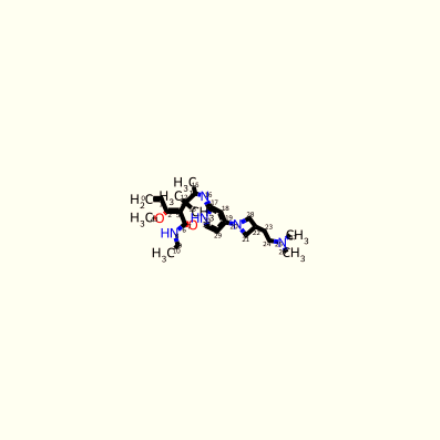 C=C/C(OC)=C(/C(=O)NCC)C(C)(C)C(C)/N=c1/cc(N2CC(CCN(C)C)C2)cc[nH]1